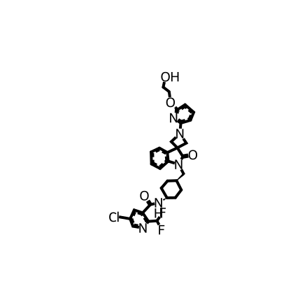 O=C(N[C@H]1CC[C@H](CN2C(=O)C3(CN(c4cccc(OCCO)n4)C3)c3ccccc32)CC1)c1cc(Cl)cnc1C(F)F